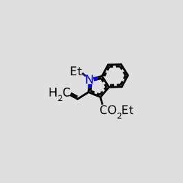 C=Cc1c(C(=O)OCC)c2ccccc2n1CC